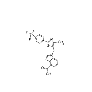 Cc1nc(-c2ccc(C(F)(F)F)cc2)sc1Cn1ccc2c(C(=O)O)cccc21